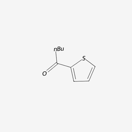 CCCCC(=O)c1cccs1